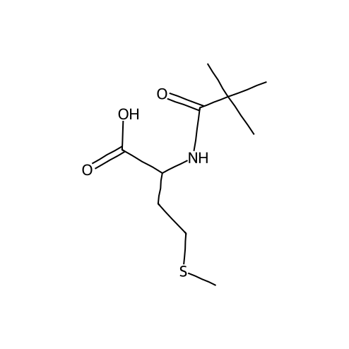 CSCCC(NC(=O)C(C)(C)C)C(=O)O